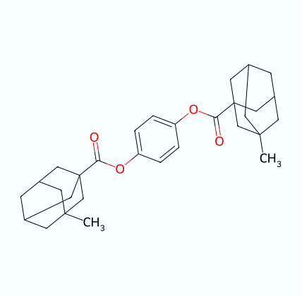 CC12CC3CC(C1)CC(C(=O)Oc1ccc(OC(=O)C45CC6CC(CC(C)(C6)C4)C5)cc1)(C3)C2